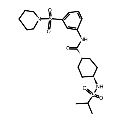 CC(C)S(=O)(=O)N[C@H]1CC[C@H](C(=O)Nc2cccc(S(=O)(=O)N3CCCCC3)c2)CC1